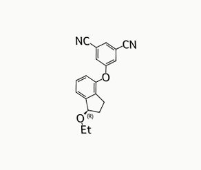 CCO[C@@H]1CCc2c(Oc3cc(C#N)cc(C#N)c3)cccc21